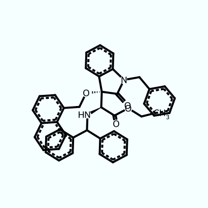 CCOC(=O)[C@@H](NC(c1ccccc1)c1ccccc1)[C@]1(OCc2cccc3ccccc23)C(=O)N(Cc2ccccc2)c2ccccc21